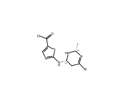 C[C@@H]1N=C(Br)C[C@H](Nc2ncc(C(=O)Cl)s2)N1